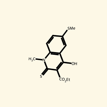 CCOC(=O)c1c(O)c2cc(SC)ccc2n(C)c1=S